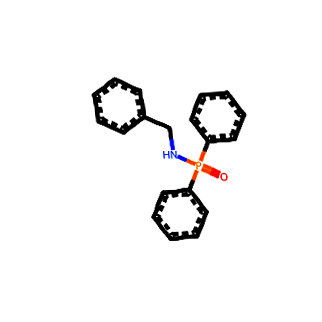 O=P(NCc1ccccc1)(c1ccccc1)c1ccccc1